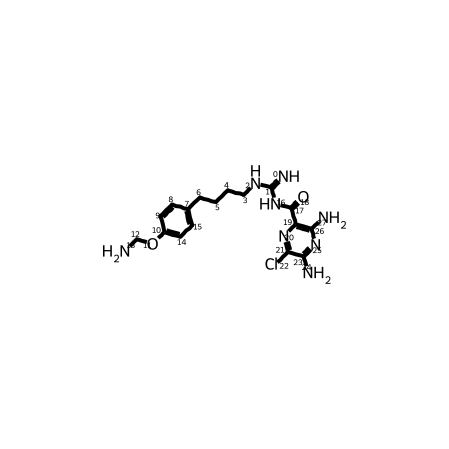 N=C(NCCCCc1ccc(OCN)cc1)NC(=O)c1nc(Cl)c(N)nc1N